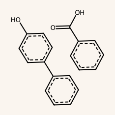 O=C(O)c1ccccc1.Oc1ccc(-c2ccccc2)cc1